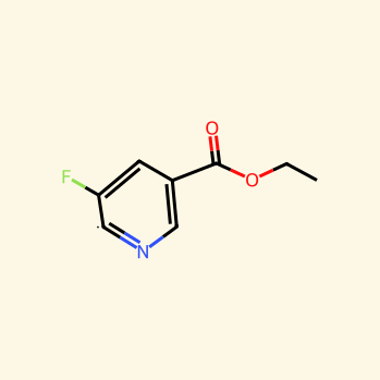 CCOC(=O)c1cn[c]c(F)c1